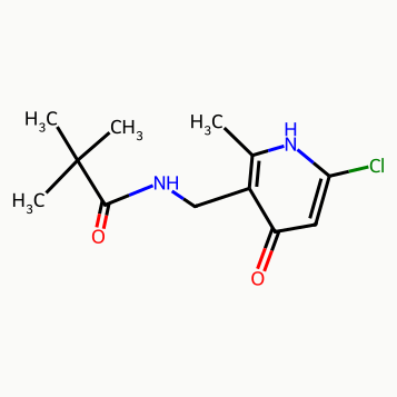 Cc1[nH]c(Cl)cc(=O)c1CNC(=O)C(C)(C)C